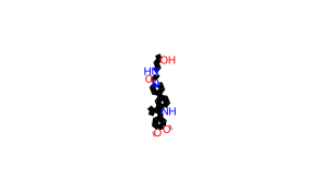 COc1ccc(-c2[nH]c3ccc(C4CCN(C(=O)CNCCC(C)O)CC4)cc3c2C(C)C)cc1OC